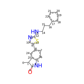 CC1C(=O)Nc2ccc(-c3cnc(NCCCc4ccccc4)s3)cc21